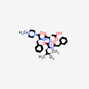 CC(C)C[C@@H](C(=O)N[C@@H](CC(=O)O)C(=O)N[C@@H](Cc1ccccc1)C(=O)N1CCN(C)CC1)N(C)C(=O)Cc1ccccc1